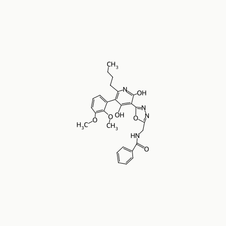 CCCCc1nc(O)c(-c2nnc(CNC(=O)c3ccccc3)o2)c(O)c1-c1cccc(OC)c1OC